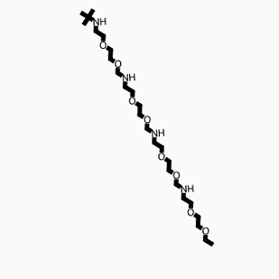 CCOCCOCCNCOCCOCCNCOCCOCCNCOCCOCCNC(C)(C)C